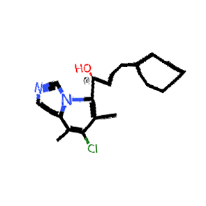 Cc1c(Cl)c(C)c2cncn2c1[C@H](O)CCC1CCCCC1